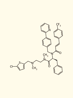 CN(CCN(C)C(=O)[C@H](Cc1ccccc1)N(Cc1ccc(-c2ccccn2)cc1)C(=O)/C=C/c1ccc(C(F)(F)F)cc1)Cc1ccc(Cl)s1